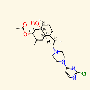 CC(=O)O[C@@H]1[C][C@@]2(O)[C@H](C)CC[C@@H]([C@H](C)CN3CCN(c4ccnc(Cl)n4)CC3)[C@H]2C=C1C